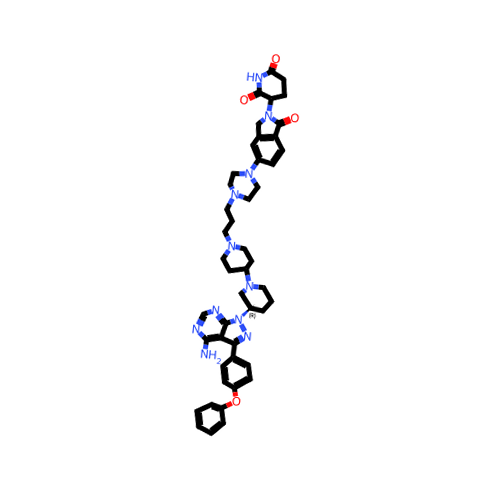 Nc1ncnc2c1c(-c1ccc(Oc3ccccc3)cc1)nn2[C@@H]1CCCN(C2CCN(CCCN3CCN(c4ccc5c(c4)CN(C4CCC(=O)NC4=O)C5=O)CC3)CC2)C1